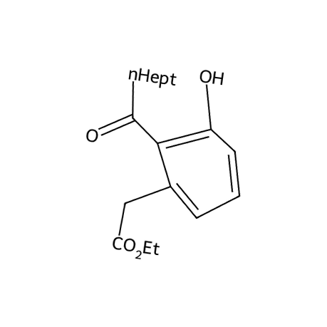 CCCCCCCC(=O)c1c(O)cccc1CC(=O)OCC